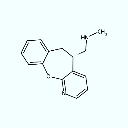 CNC[C@H]1Cc2ccccc2Oc2ncccc21